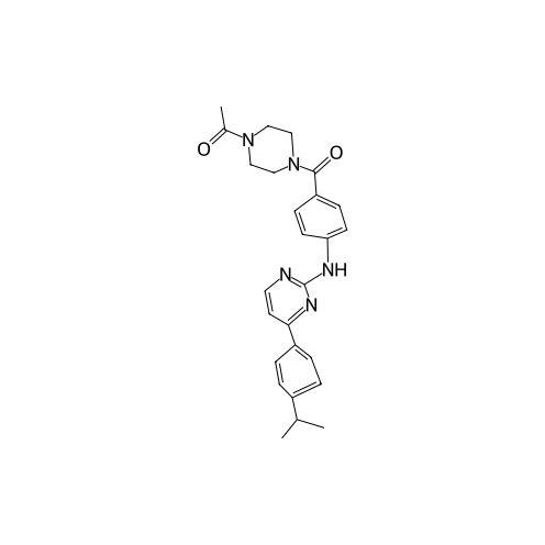 CC(=O)N1CCN(C(=O)c2ccc(Nc3nccc(-c4ccc(C(C)C)cc4)n3)cc2)CC1